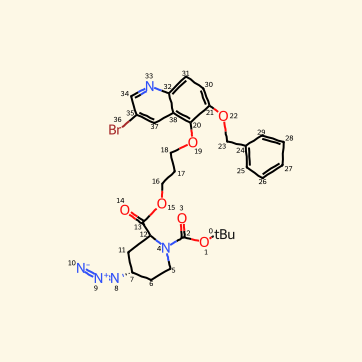 CC(C)(C)OC(=O)N1CC[C@H](N=[N+]=[N-])CC1C(=O)OCCCOc1c(OCc2ccccc2)ccc2ncc(Br)cc12